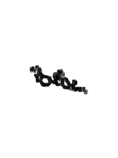 CCn1ncc2ccc(N(Cc3ccc(C(=O)NN)cc3)S(C)(=O)=O)cc21